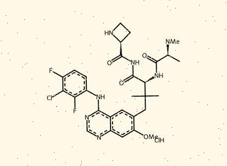 CN[C@@H](C)C(=O)N[C@H](C(=O)NC(=O)[C@@H]1CCN1)C(C)(C)Cc1cc2c(Nc3ccc(F)c(Cl)c3F)ncnc2cc1OC.Cl